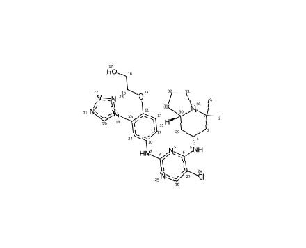 CC1(C)C[C@H](Nc2nc(Nc3ccc(OCCO)c(-n4cnnn4)c3)ncc2Cl)C[C@@H]2CCCN21